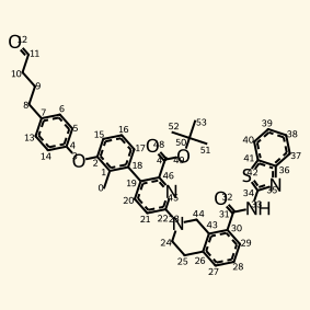 Cc1c(Oc2ccc(CCCC=O)cc2)cccc1-c1ccc(N2CCc3cccc(C(=O)Nc4nc5ccccc5s4)c3C2)nc1C(=O)OC(C)(C)C